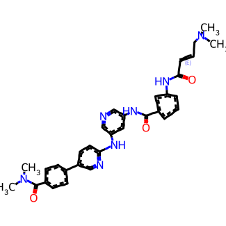 CN(C)C/C=C/C(=O)Nc1cccc(C(=O)Nc2cncc(Nc3ccc(-c4ccc(C(=O)N(C)C)cc4)cn3)c2)c1